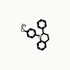 CC(C)Oc1ccc(N2c3ccccc3CCC2c2ccccc2)cc1